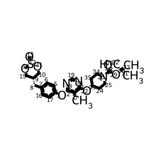 Cc1c(Oc2ccc(C[C@H]3CO[S@@](=O)OC3)cc2)ncnc1OC1CCN(C(=O)OC(C)(C)C)CC1